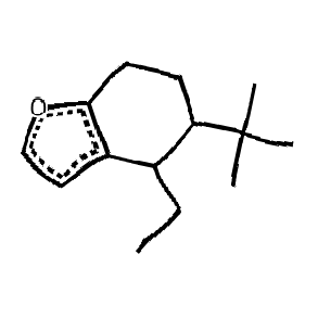 CCC1c2ccoc2CCC1C(C)(C)C